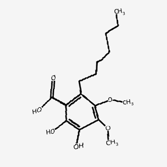 CCCCCCCc1c(OC)c(OC)c(O)c(O)c1C(=O)O